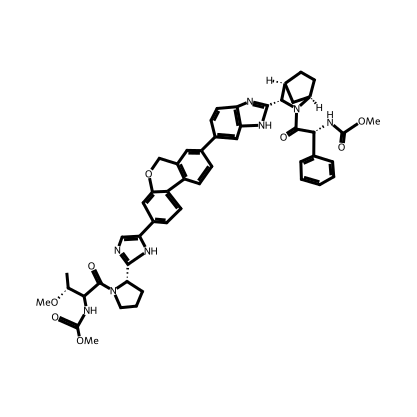 COC(=O)NC(C(=O)N1CCC[C@H]1c1ncc(-c2ccc3c(c2)OCc2cc(-c4ccc5nc([C@@H]6[C@H]7CC[C@H](C7)N6C(=O)[C@H](NC(=O)OC)c6ccccc6)[nH]c5c4)ccc2-3)[nH]1)[C@@H](C)OC